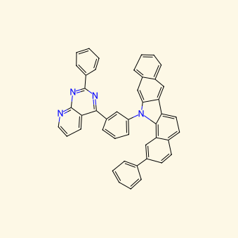 c1ccc(-c2ccc3ccc4c5cc6ccccc6cc5n(-c5cccc(-c6nc(-c7ccccc7)nc7ncccc67)c5)c4c3c2)cc1